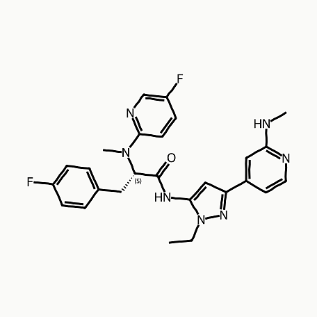 CCn1nc(-c2ccnc(NC)c2)cc1NC(=O)[C@H](Cc1ccc(F)cc1)N(C)c1ccc(F)cn1